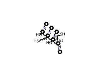 CCc1cc(/N=C/c2ccccc2)cc(Cc2cc(/N=C/c3ccccc3)cc(Cc3cc(/N=C/c4ccccc4)cc(Cc4cc(/N=C/c5ccccc5)ccc4O)c3OCCCCS)c2O)c1OCCCCS